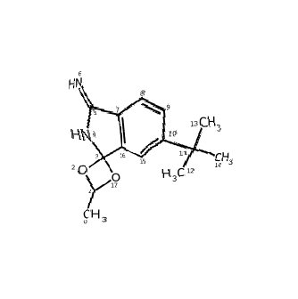 CC1OC2(NC(=N)c3ccc(C(C)(C)C)cc32)O1